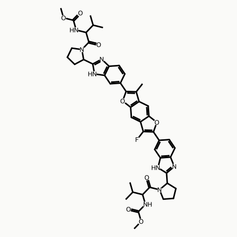 COC(=O)NC(C(=O)N1CCCC1c1nc2ccc(-c3oc4cc5c(F)c(-c6ccc7nc(C8CCCN8C(=O)C(NC(=O)OC)C(C)C)[nH]c7c6)oc5cc4c3C)cc2[nH]1)C(C)C